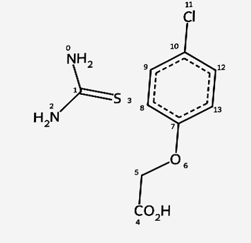 NC(N)=S.O=C(O)COc1ccc(Cl)cc1